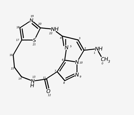 CNc1cc2nc3c(cnn13)C(=O)NCCCc1cnc(s1)N2